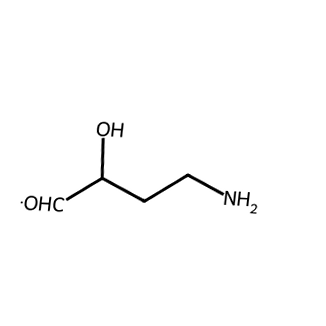 NCCC(O)[C]=O